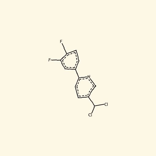 Fc1ccc(-c2ccc(C(Cl)Cl)cn2)cc1F